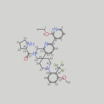 CCOc1ncccc1-c1ccc2c(n1)CN(C(=O)[C@H]1CCCN1)CC21CCN(c2cccc(OC)c2C(F)(F)F)CC1